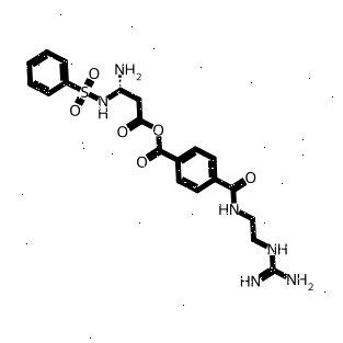 N=C(N)NCCNC(=O)c1ccc(C(=O)OC(=O)C[C@@H](N)NS(=O)(=O)c2ccccc2)cc1